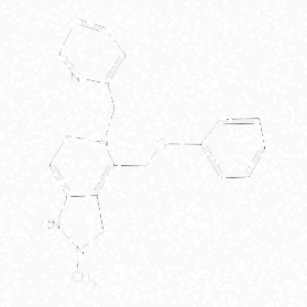 CN1CC2=C(COc3ccccc3)N(Cc3ccccn3)CC=C2N1